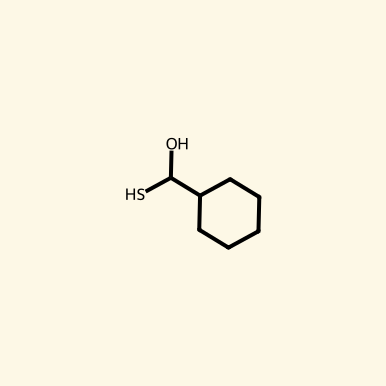 OC(S)C1CCCCC1